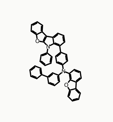 c1ccc(-c2cccc(N(c3ccc(-c4cccc5c6c7ccccc7oc6n(-c6ccccc6)c45)cc3)c3cccc4c3oc3ccccc34)c2)cc1